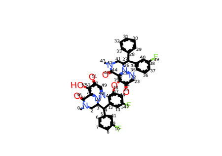 CN1CC(C(c2cccc(F)c2)c2cc(F)cc(Oc3c4n(ncc3=O)C(C(c3ccccc3)c3cccc(F)c3)CN(C)C4=O)c2)n2ncc(=O)c(O)c2C1=O